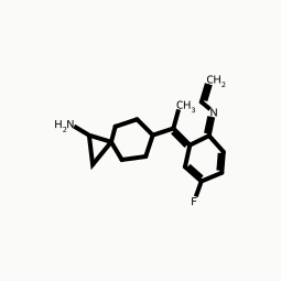 C=C/N=C1/C=CC(F)=C/C1=C(/C)C1CCC2(CC1)CC2N